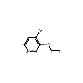 CCPc1cnccc1Br